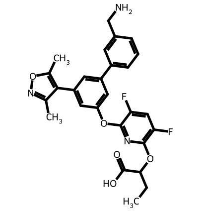 CCC(Oc1nc(Oc2cc(-c3cccc(CN)c3)cc(-c3c(C)noc3C)c2)c(F)cc1F)C(=O)O